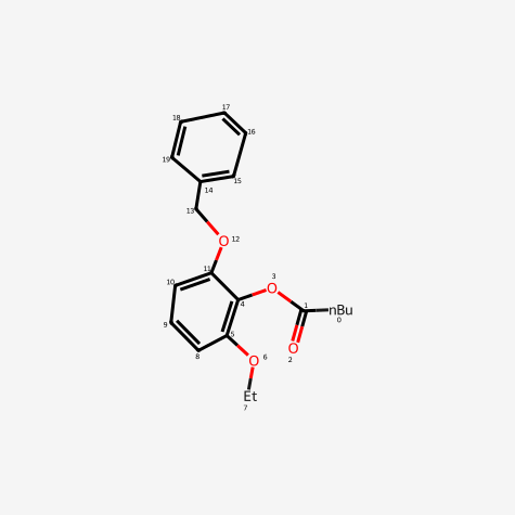 CCCCC(=O)Oc1c(OCC)cccc1OCc1ccccc1